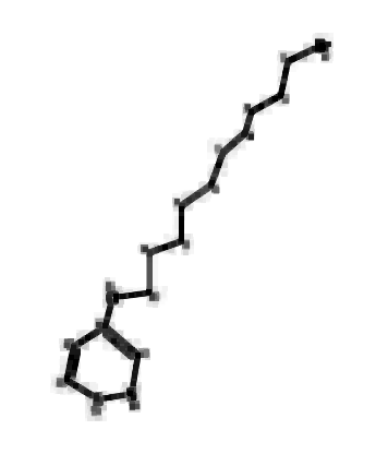 BrCCCCCCCCCCOC1=CSSC=[C]1